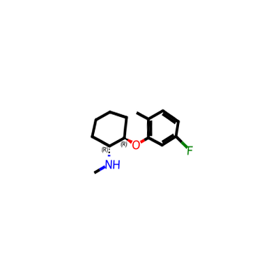 CN[C@@H]1CCCC[C@H]1Oc1cc(F)ccc1C